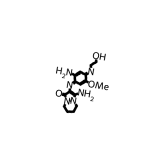 COC1=CC(=N\c2c(N)n3n(c2=O)CCCC3)/C(N)=CC/1=N\CCO